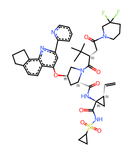 C=C[C@@H]1C[C@]1(NC(=O)[C@@H]1C[C@@H](Oc2cc(-c3ccccn3)nc3c4c(ccc23)CCC4)CN1C(=O)[C@@H](CC(=O)N1CCCC(F)(F)C1)C(C)(C)C)C(=O)NS(=O)(=O)C1CC1